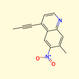 CC#Cc1ccnc2cc(C)c([N+](=O)[O-])cc12